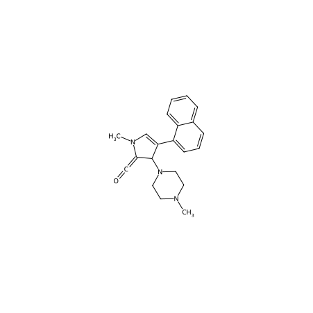 CN1CCN(C2C(=C=O)N(C)C=C2c2cccc3ccccc23)CC1